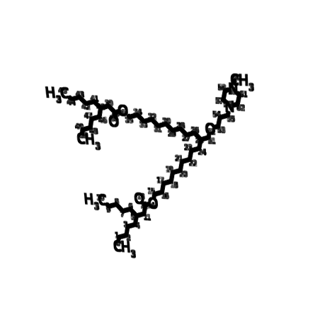 CCCCCC(CCCCC)CC(=O)OCCCCCCCCCCC(CCCCCCCCCCOC(=O)CC(CCCCC)CCCCC)COCCCN1CCN(C)CC1